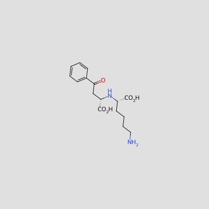 NCCCC[C@H](N[C@@H](CC(=O)c1ccccc1)C(=O)O)C(=O)O